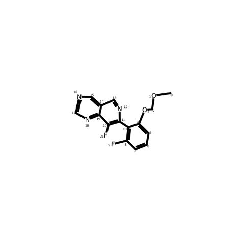 COCOc1cccc(F)c1-c1ncc2cncnc2c1F